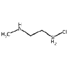 CNCC[SiH2]Cl